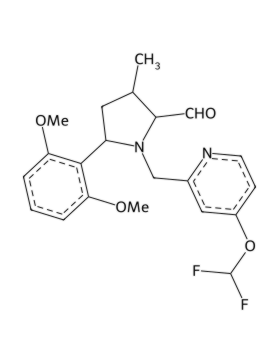 COc1cccc(OC)c1C1CC(C)C(C=O)N1Cc1cc(OC(F)F)ccn1